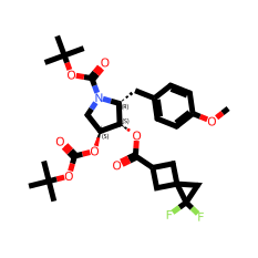 COc1ccc(C[C@@H]2[C@H](OC(=O)C3CC4(C3)CC4(F)F)[C@@H](OC(=O)OC(C)(C)C)CN2C(=O)OC(C)(C)C)cc1